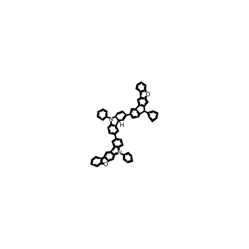 C1=CC2[C@H](C=C1c1ccc3c(c1)-c1cc4c(cc1C3c1ccccc1)oc1ccccc14)c1cc(-c3ccc4c(c3)c3cc5c(cc3n4-c3ccccc3)oc3ccccc35)ccc1N2c1ccccc1